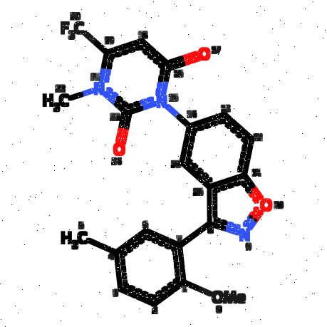 COc1ccc(C)cc1-c1noc2ccc(-n3c(=O)cc(C(F)(F)F)n(C)c3=O)cc12